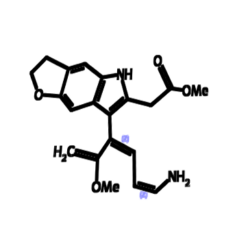 C=C(OC)/C(=C\C=C/N)c1c(CC(=O)OC)[nH]c2cc3c(cc12)OCC3